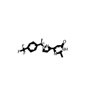 Cc1nc(-c2ccn([C@H](C)c3ccc(C(F)(F)F)cc3)n2)cc(=O)[nH]1